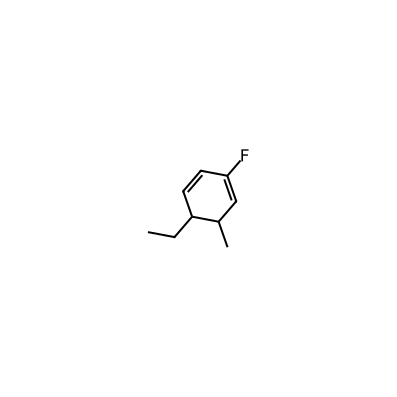 CCC1C=CC(F)=CC1C